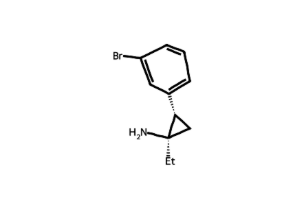 CC[C@@]1(N)C[C@H]1c1cccc(Br)c1